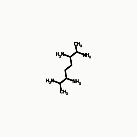 CC(N)C(N)CCC(N)C(C)N